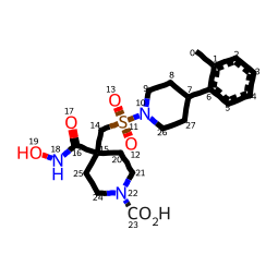 Cc1ccccc1C1CCN(S(=O)(=O)CC2(C(=O)NO)CCN(C(=O)O)CC2)CC1